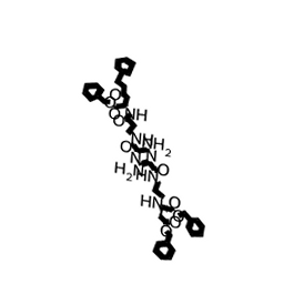 Nc1nc(C(=O)NCCC(=O)NC(CC(=O)CCc2ccccc2)C(=O)OCc2ccccc2)c(N)nc1C(=O)NCCCN[C@H](CC(=O)OCc1ccccc1)C(=O)OCc1ccccc1